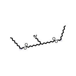 CCCCCCCC/C=C\COC(=O)CCCCCCCC(CCCCCCCC(=O)OC/C=C\CCCCCCCC)CCCCN(C)C